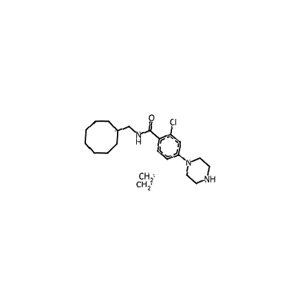 O=C(NC[C]1CCCCCCC1)c1ccc(N2CCNCC2)cc1Cl.[CH2].[CH2]